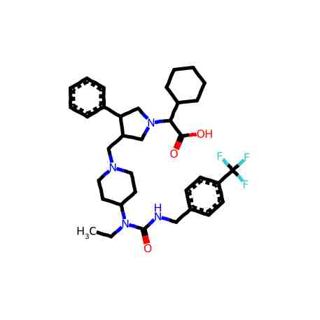 CCN(C(=O)NCc1ccc(C(F)(F)F)cc1)C1CCN(CC2CN(C(C(=O)O)C3CCCCC3)CC2c2ccccc2)CC1